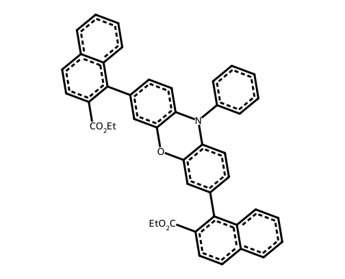 CCOC(=O)c1ccc2ccccc2c1-c1ccc2c(c1)Oc1cc(-c3c(C(=O)OCC)ccc4ccccc34)ccc1N2c1ccccc1